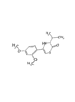 COc1ccc(C2=CSC(=O)C(C(C)C)N2)c(OC)c1